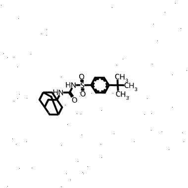 CC(C)(C)c1ccc(S(=O)(=O)NC(=O)NC23CC4CC(CC(C4)C2)C3)cc1